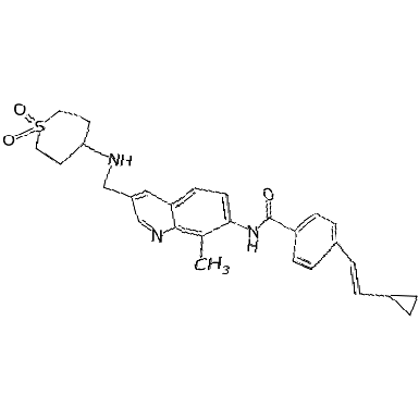 Cc1c(NC(=O)c2ccc(C=CC3CC3)cc2)ccc2cc(CNC3CCS(=O)(=O)CC3)cnc12